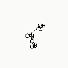 O=C(O)CCCCCc1nn(-c2ccc([N+](=O)[O-])cc2)c2c1CCCC2